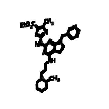 CCOC(=O)c1sc(Nc2nc(NCCCN3CCCCC3C)c3c(n2)N(Cc2cccnc2)CC3)nc1C